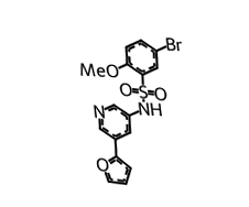 COc1ccc(Br)cc1S(=O)(=O)Nc1cncc(-c2ccco2)c1